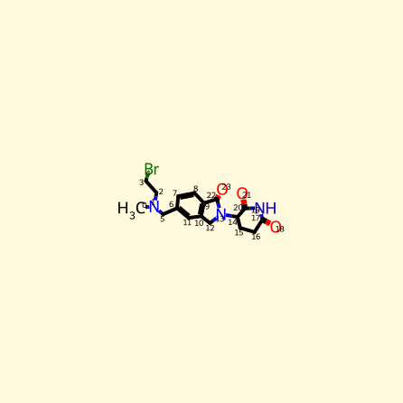 CN(CCBr)Cc1ccc2c(c1)CN(C1CCC(=O)NC1=O)C2=O